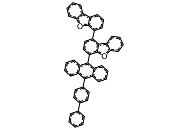 c1ccc(-c2ccc(-c3c4ccccc4c(-c4ccc(-c5cccc6c5oc5ccccc56)c5c4oc4ccccc45)c4ccccc34)cc2)cc1